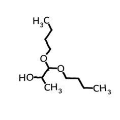 CCCCO[C](OCCCC)C(C)O